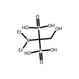 CCN(CC)C(CO)(P(=O)(O)O)P(=O)(O)O